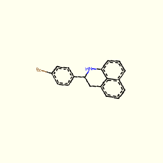 Brc1ccc(C2Cc3cccc4cccc(c34)N2)cc1